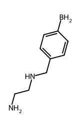 Bc1ccc(CNCCN)cc1